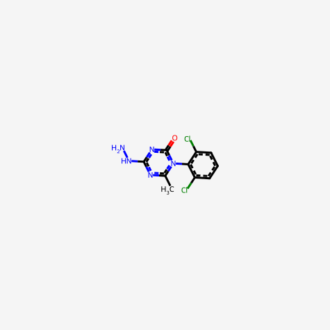 Cc1nc(NN)nc(=O)n1-c1c(Cl)cccc1Cl